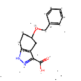 O=C(O)c1n[nH]c2c1CC(OCc1ccccc1)CC2